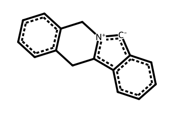 c1ccc2c(c1)Cc1c3ccccc3[cH-][n+]1C2